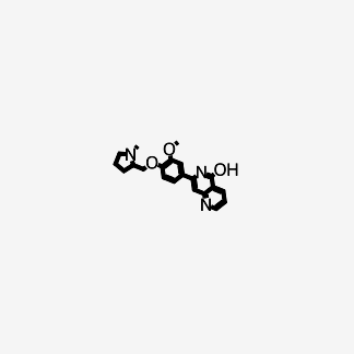 COc1cc(-c2cc3ncccc3c(O)n2)ccc1OCC1CCCN1C